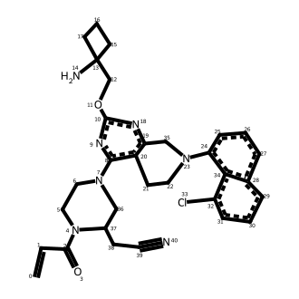 C=CC(=O)N1CCN(c2nc(OCC3(N)CCC3)nc3c2CCN(c2cccc4cccc(Cl)c24)C3)CC1CC#N